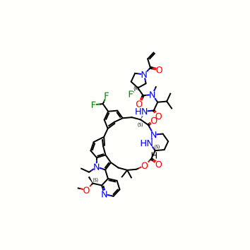 C=CC(=O)N1CC[C@](F)(C(=O)N(C)C(C(=O)N[C@H]2Cc3cc(cc(C(F)F)c3)-c3ccc4c(c3)c(c(-c3cccnc3[C@H](C)OC)n4CC)CC(C)(C)COC(=O)[C@@H]3CCCN(N3)C2=O)C(C)C)C1